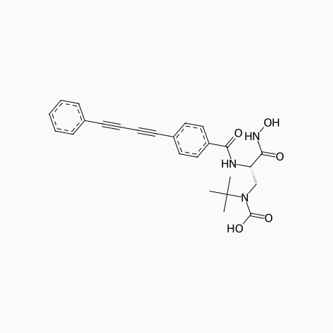 CC(C)(C)N(C[C@H](NC(=O)c1ccc(C#CC#Cc2ccccc2)cc1)C(=O)NO)C(=O)O